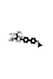 C[C@@H](N)[C@H](NC(=O)c1ccc(-c2ccc(OC3CC3)cc2)cc1)C(=O)NO